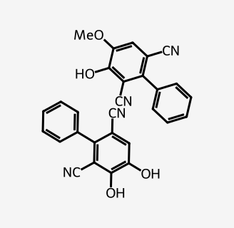 COc1cc(C#N)c(-c2ccccc2)c(C#N)c1O.N#Cc1cc(O)c(O)c(C#N)c1-c1ccccc1